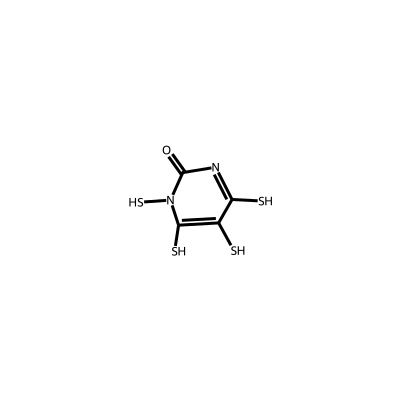 O=c1nc(S)c(S)c(S)n1S